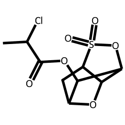 CC(Cl)C(=O)OC1C2CC3C(O2)C1OS3(=O)=O